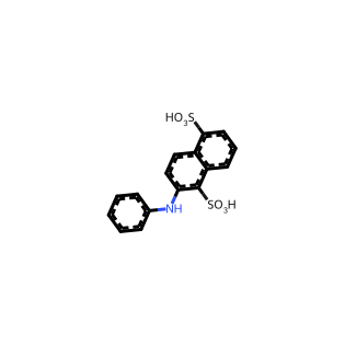 O=S(=O)(O)c1cccc2c(S(=O)(=O)O)c(Nc3ccccc3)ccc12